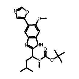 COc1cc2[nH]c(C(CC(C)C)N(C)C(=O)OC(C)(C)C)nc2cc1-c1cnco1